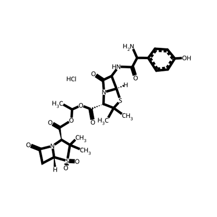 CC(OC(=O)[C@@H]1N2C(=O)C(NC(=O)C(N)c3ccc(O)cc3)[C@H]2SC1(C)C)OC(=O)[C@@H]1N2C(=O)C[C@H]2S(=O)(=O)C1(C)C.Cl